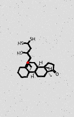 C[C@]12CC[C@@H]3[C@@H](CC=C4CCCC[C@@]43CCCC(O)CC(S)S)[C@@H]1CCC2=O